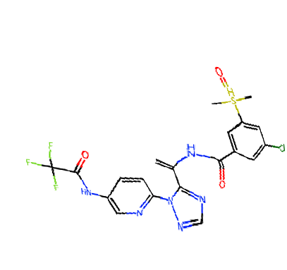 C=C(NC(=O)c1cc(Cl)cc([SH](C)(C)=O)c1)c1ncnn1-c1ccc(NC(=O)C(F)(F)F)cn1